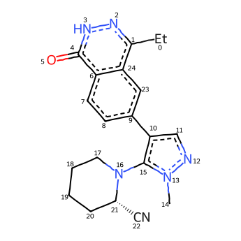 CCc1n[nH]c(=O)c2ccc(-c3cnn(C)c3N3CCCC[C@H]3C#N)cc12